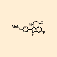 CNCc1ccc(-c2[nH]c3cc(F)cc4c3c2NCCC4=O)cc1